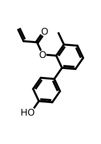 C=CC(=O)Oc1c(C)cccc1-c1ccc(O)cc1